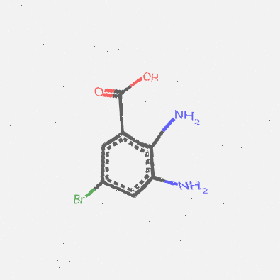 Nc1cc(Br)cc(C(=O)O)c1N